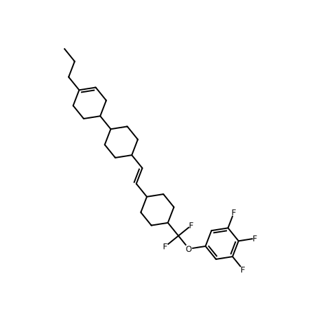 CCCC1=CCC(C2CCC(/C=C/C3CCC(C(F)(F)Oc4cc(F)c(F)c(F)c4)CC3)CC2)CC1